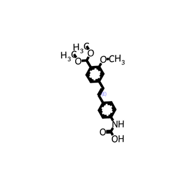 COc1cc(/C=C/c2ccc(NC(=O)O)cc2)ccc1C(OC)OC